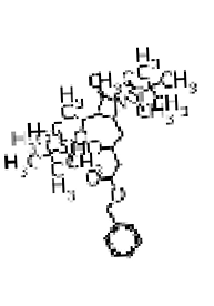 C[C@@H](O[Si](C)(C)C(C)(C)C)C1C(=O)N([Si](C)(C)C(C)(C)C)C1CC(O)CC(=O)OCc1ccccc1